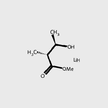 COC(=O)[C@H](C)[C@@H](C)O.[LiH]